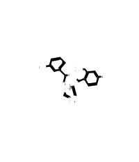 FC(F)(F)c1cccc(C(Cn2ccnc2)OCc2ccc(Cl)cc2Cl)c1